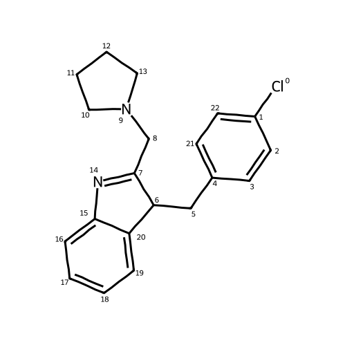 Clc1ccc(CC2C(CN3CCCC3)=Nc3ccccc32)cc1